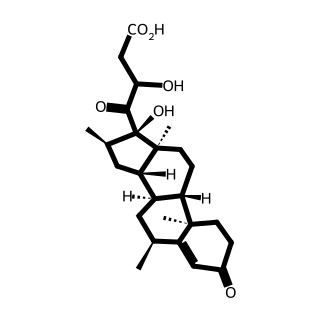 C[C@@H]1C[C@H]2[C@@H]3C[C@H](C)C4=CC(=O)CC[C@]4(C)[C@H]3CC[C@]2(C)[C@@]1(O)C(=O)C(O)CC(=O)O